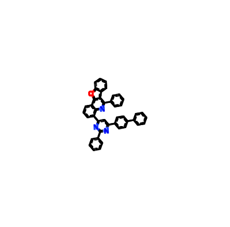 c1ccc(-c2ccc(-c3cc(-c4cccc5c4nc(-c4ccccc4)c4c6ccccc6oc54)nc(-c4ccccc4)n3)cc2)cc1